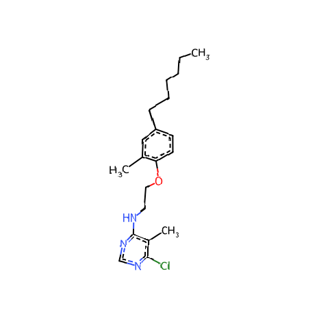 CCCCCCc1ccc(OCCNc2ncnc(Cl)c2C)c(C)c1